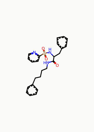 O=C(NCCCCc1ccccc1)C(Cc1cc[c]cc1)NS(=O)(=O)c1ccccn1